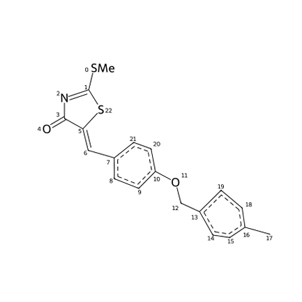 CSC1=NC(=O)C(=Cc2ccc(OCc3ccc(C)cc3)cc2)S1